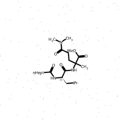 CCCCCCCC(=O)N[C@@H](CC(C)C)C(=O)NC(C)(CCC(=O)N(C)C)C(=O)OC